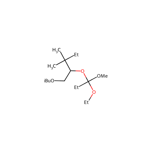 CCOC(CC)(OC)OC(COCC(C)C)C(C)(C)CC